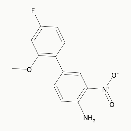 COc1cc(F)ccc1-c1ccc(N)c([N+](=O)[O-])c1